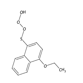 CCOc1ccc(SOOO)c2ccccc12